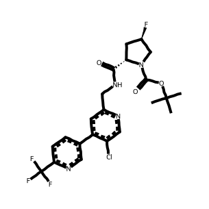 CC(C)(C)OC(=O)N1C[C@H](F)C[C@H]1C(=O)NCc1cc(-c2ccc(C(F)(F)F)nc2)c(Cl)cn1